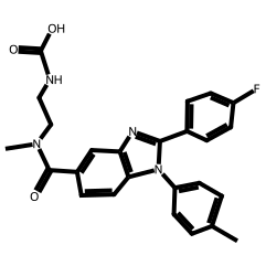 Cc1ccc(-n2c(-c3ccc(F)cc3)nc3cc(C(=O)N(C)CCNC(=O)O)ccc32)cc1